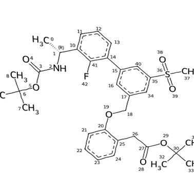 C[C@@H](NC(=O)OC(C)(C)C)c1cccc(-c2cc(COc3ccccc3CC(=O)OC(C)(C)C)cc(S(C)(=O)=O)c2)c1F